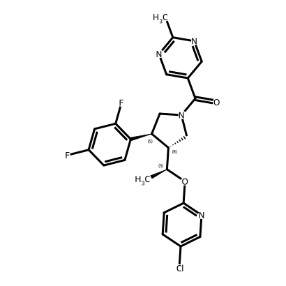 Cc1ncc(C(=O)N2C[C@H]([C@H](C)Oc3ccc(Cl)cn3)[C@@H](c3ccc(F)cc3F)C2)cn1